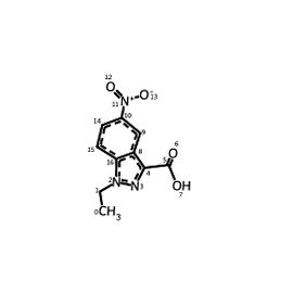 CCn1nc(C(=O)O)c2cc([N+](=O)[O-])ccc21